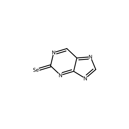 [Se]=C1N=CC2=NC=NC2=N1